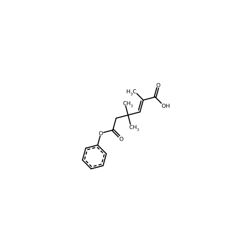 C/C(=C\C(C)(C)CC(=O)Oc1ccccc1)C(=O)O